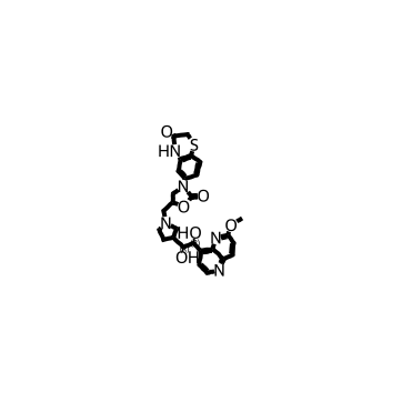 COc1ccc2nccc([C@@H](O)[C@H](O)C3CCN(CC4CN(c5ccc6c(c5)NC(=O)CS6)C(=O)O4)C3)c2n1